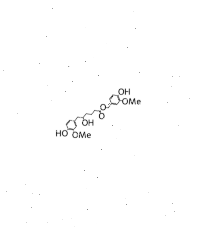 COc1cc(COC(=O)CCCC(O)Cc2ccc(O)c(OC)c2)ccc1O